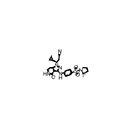 C[C@H]1CCCN1S(=O)(=O)c1ccc(Nc2nn(C(CC#N)C3CC3)c3cc[nH]c(=O)c23)cc1